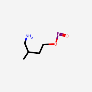 CC(CN)CCOP=O